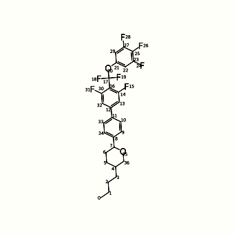 CCCCC1CCC(c2ccc(-c3cc(F)c(C(F)(F)Oc4cc(F)c(F)c(F)c4)c(F)c3)cc2)OC1